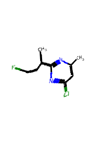 Cc1cc(Cl)nc(C(C)CF)n1